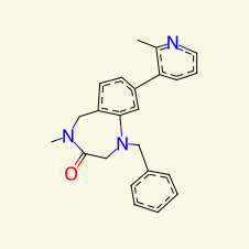 Cc1ncccc1-c1ccc2c(c1)N(Cc1ccccc1)CC(=O)N(C)C2